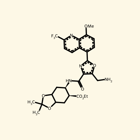 CCOC(=O)[C@H]1CC2OC(C)(C)OC2C[C@H]1NC(=O)c1nc(-c2ccc(OC)c3nc(C(F)(F)F)ccc23)oc1CN